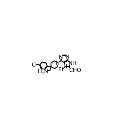 CCN1c2c(ncnc2N2CCC(CN)(c3ccc(Cl)cc3)CC2)NC1C=O